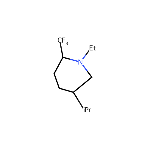 CCN1CC(C(C)C)CCC1C(F)(F)F